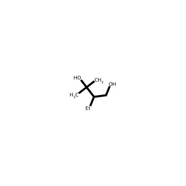 CCC(CO)C(C)(C)O